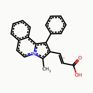 Cc1c(/C=C/C(=O)O)c(-c2ccccc2)c2c3ccccc3ccn12